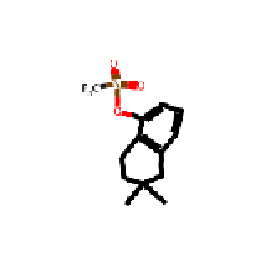 CC1(C)CCc2c(cccc2OS(=O)(=O)C(F)(F)F)C1